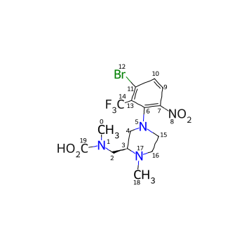 CN(C[C@H]1CN(c2c([N+](=O)[O-])ccc(Br)c2C(F)(F)F)CCN1C)C(=O)O